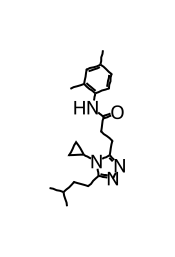 Cc1ccc(NC(=O)CCc2nnc(CCC(C)C)n2C2CC2)c(C)c1